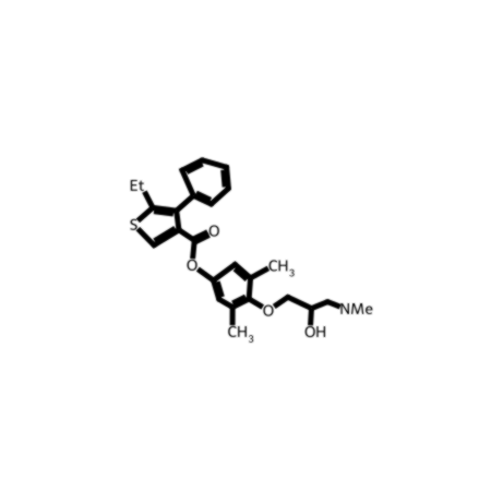 CCc1scc(C(=O)Oc2cc(C)c(OCC(O)CNC)c(C)c2)c1-c1ccccc1